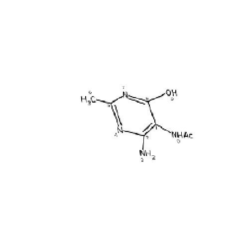 CC(=O)Nc1c(N)nc(C)nc1O